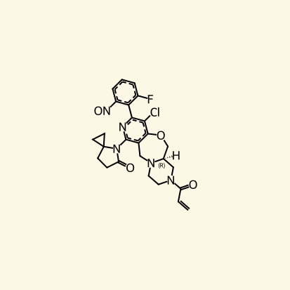 C=CC(=O)N1CCN2Cc3c(N4C(=O)CCC45CC5)nc(-c4c(F)cccc4N=O)c(Cl)c3OC[C@H]2C1